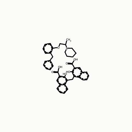 CC(COc1ccccc1Cc1ccccc1)N1CCCCC1.O=C(O)c1cc2ccccc2c(Cc2c(O)c(C(=O)O)cc3ccccc23)c1O